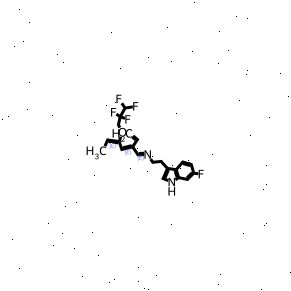 C=CC(/C=N/CCc1c[nH]c2cc(F)ccc12)=C\C(=C/C)OCC(F)(F)C(F)F